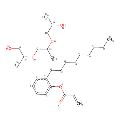 C=CC(=O)Oc1ccccc1CCCCCCCCC.CC(O)COC(C)COC(C)CO